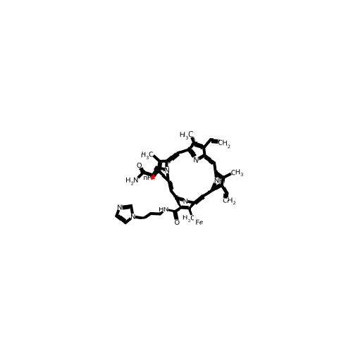 C=CC1=C(C)c2cc3c(C)c(CCC)c(cc4nc(cc5[nH]c(cc1n2)c(C)c5C=C)C(C)=C4C(=O)NCCCn1ccnc1)n3CCC(N)=O.[Fe]